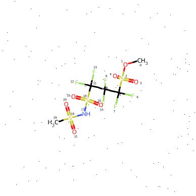 COS(=O)(=O)C(F)(F)C(F)(F)C(F)(F)S(=O)(=O)NS(C)(=O)=O